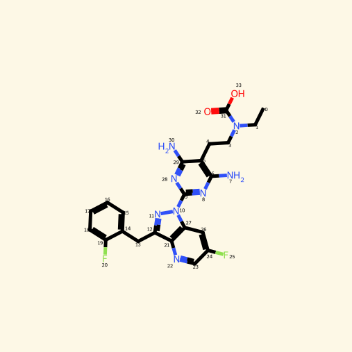 CCN(CCc1c(N)nc(-n2nc(Cc3ccccc3F)c3ncc(F)cc32)nc1N)C(=O)O